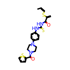 C=C(S/C=C\C)C(=O)NC(=S)Nc1ccc(N2CCN(C(=O)c3cccs3)CC2)cc1